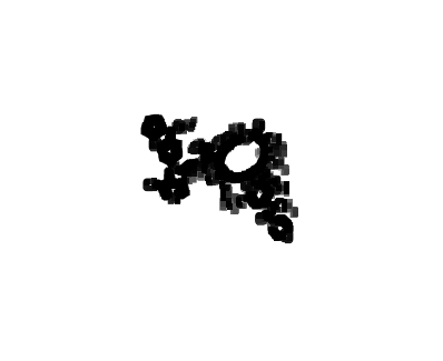 CC[C@H]1OC(=O)[C@H](C)[C@@H](O)[C@H](C)[C@@H](O[C@@H]2O[C@H](C)C[C@H](N(C)C(=O)N3CCOCC3)[C@H]2O)[C@](C)(OC)C[C@@H](C)C(=O)[C@H](C)[C@H]2C(SCCN(Cc3c(Cl)cncc3Cl)c3ccc(CO)c(OC4CCCC4)c3)C(=O)O[C@@]21C